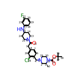 C[C@H]1CN(Cc2ccc(CC(=O)N3CCC(Nc4cccc(F)c4)CC3)cc2Cl)CCN1C(=O)OC(C)(C)C